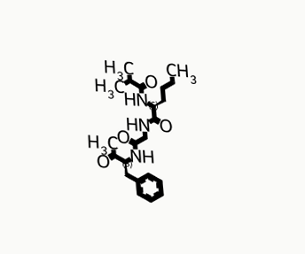 CCCC[C@H](NC(=O)C(C)C)C(=O)NCC(=O)N[C@@H](Cc1ccccc1)C(C)=O